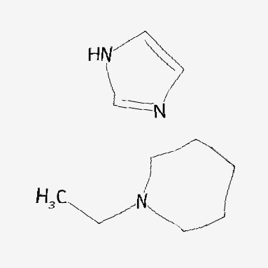 CCN1CCCCC1.c1c[nH]cn1